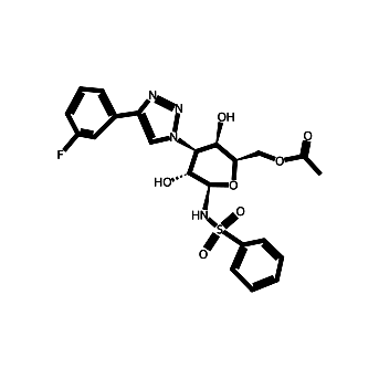 CC(=O)OC[C@H]1O[C@@H](NS(=O)(=O)c2ccccc2)[C@H](O)[C@@H](n2cc(-c3cccc(F)c3)nn2)[C@H]1O